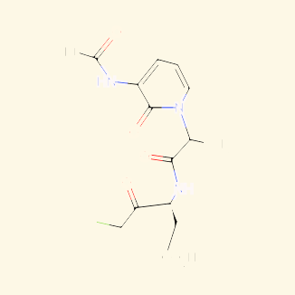 CCC(=O)Nc1cccn(C(C)C(=O)N[C@@H](CC(=O)O)C(=O)CF)c1=O